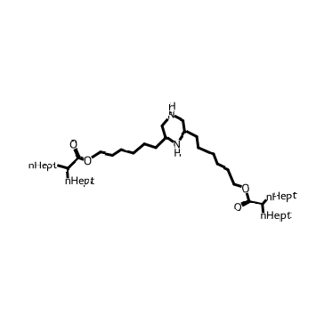 CCCCCCCC(CCCCCCC)C(=O)OCCCCCCC1CNCC(CCCCCCOC(=O)C(CCCCCCC)CCCCCCC)N1